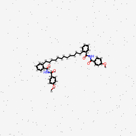 COc1ccc(C(=O)NC(=O)c2ccccc2CCCCCCCCCCCCc2ccccc2C(=O)NC(=O)c2ccc(OC)cc2)cc1